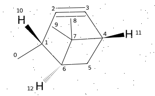 C[C@@H]1C#C[C@@H]2C[C@@H]1C2(C)C